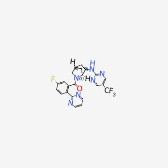 O=C(c1cc(F)ccc1-c1ncccn1)N1C[C@@H]2C[C@@H](Nc3ncc(C(F)(F)F)cn3)[C@@H]1C2